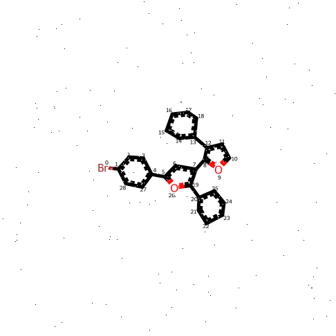 Brc1ccc(-c2cc(-c3occc3-c3ccccc3)c(-c3ccccc3)o2)cc1